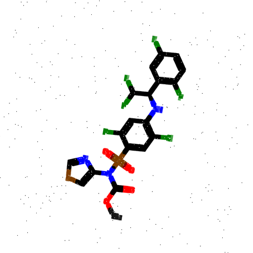 CC(C)(C)OC(=O)N(c1cscn1)S(=O)(=O)c1cc(Cl)c(N[C@H](c2cc(F)ccc2F)C(F)F)cc1F